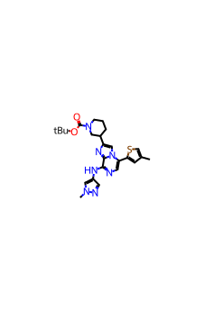 Cc1csc(-c2cnc(Nc3cnn(C)c3)c3nc(C4CCCN(C(=O)OC(C)(C)C)C4)cn23)c1